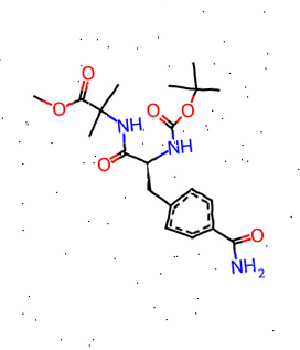 COC(=O)C(C)(C)NC(=O)[C@H](Cc1ccc(C(N)=O)cc1)NC(=O)OC(C)(C)C